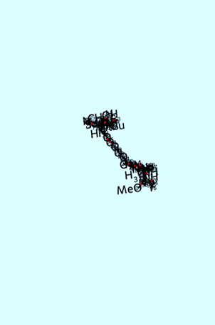 COCCN1C[C@@H](NC(=O)Nc2c(C)c(-c3cnc(N4CCN(C(=O)CCOCCOCCOCCOCCOCCNC(=O)C[C@H](NC(=O)[C@@H]5C[C@@H](O)CN5C(=O)[C@@H](NC(=O)C5(F)CC5)C(C)(C)C)c5ccc(-c6scnc6C)cc5)CC4)nc3)nn2-c2ccccc2)[C@H](c2cccc(F)c2)C1